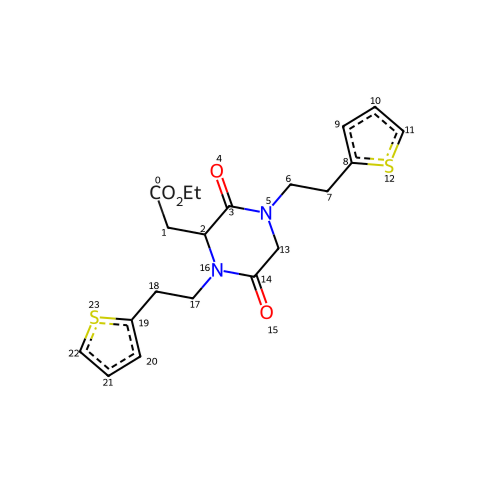 CCOC(=O)CC1C(=O)N(CCc2cccs2)CC(=O)N1CCc1cccs1